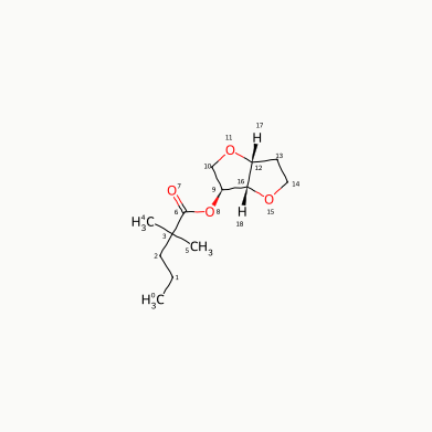 CCCC(C)(C)C(=O)O[C@H]1CO[C@@H]2CCO[C@H]12